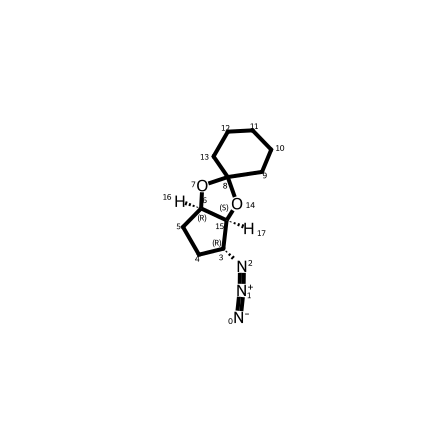 [N-]=[N+]=N[C@@H]1CC[C@H]2OC3(CCCCC3)O[C@@H]12